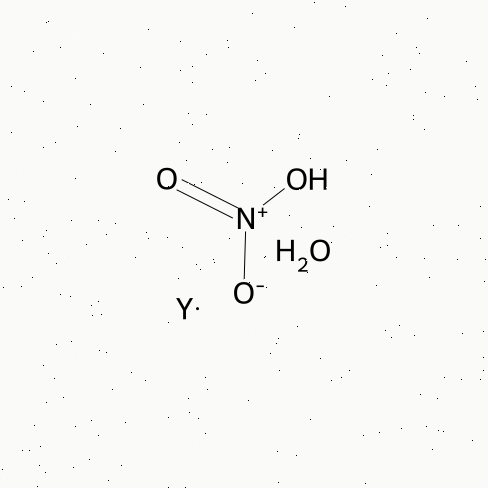 O.O=[N+]([O-])O.[Y]